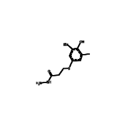 Cc1cc(SCCC(=O)NN)cc(C(C)(C)C)c1O